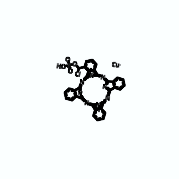 O=S(=O)(O)OC(Cl)c1cccc2c3nc4nc(nc5[nH]c(nc6nc(nc([nH]3)c12)-c1ccccc1-6)c1ccccc51)-c1ccccc1-4.[Cu]